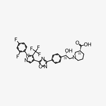 O=C(O)[C@H]1CCCN(C[C@@H](O)c2ccc(-c3noc(-c4cnn(-c5ccc(F)cc5F)c4C(F)(F)F)n3)cc2)C1